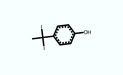 CC(I)(I)c1ccc(O)cc1